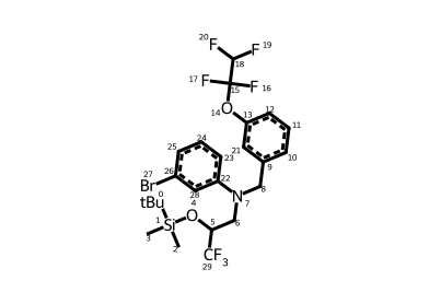 CC(C)(C)[Si](C)(C)OC(CN(Cc1cccc(OC(F)(F)C(F)F)c1)c1cccc(Br)c1)C(F)(F)F